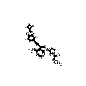 C=CC(=O)N1CCC(n2cc(C#Cc3ccc4oc(C5CCC5)nc4c3)c3c(N)ncnc32)C1